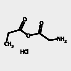 CCC(=O)OC(=O)CN.Cl